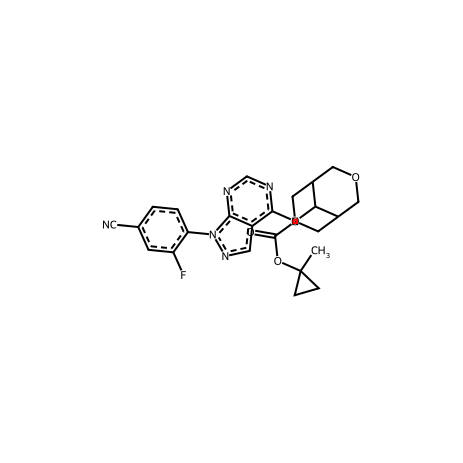 CC1(OC(=O)N2CC3COCC(C2)C3Oc2ncnc3c2cnn3-c2ccc(C#N)cc2F)CC1